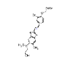 COCOc1ccc(/C=C/c2nc3cc(C)c(N(C)CCO)cc3s2)cc1Br